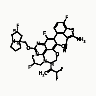 C=C(C(F)F)[C@H]1COc2c(Cl)c(-c3ccc(F)c4sc(N)c(C#N)c34)c(F)c3nc(OC[C@@]45CCCN4C[C@H](F)C5)nc(c23)N1CC(F)F